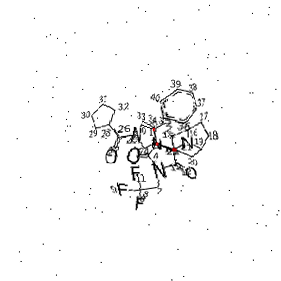 CC(C)N1C(=O)N(CC(F)(F)F)C(=O)C12CC1CCC(C2)N1C[C@H]1CN(C(=O)C2CCCC2)C[C@@H]1c1ccccc1